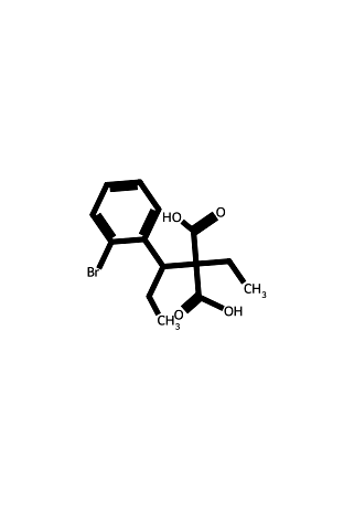 CCC(c1ccccc1Br)C(CC)(C(=O)O)C(=O)O